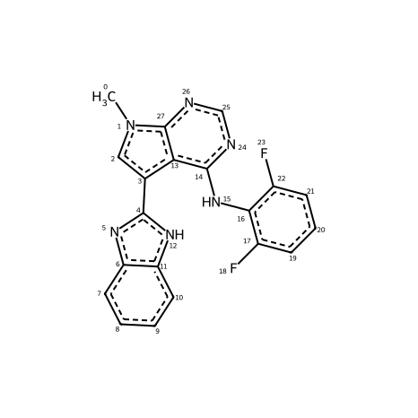 Cn1cc(-c2nc3ccccc3[nH]2)c2c(Nc3c(F)cccc3F)ncnc21